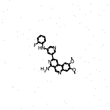 COc1cc2ncc3c(N)nc(-c4cncc(Nc5ccccc5F)c4)cc3c2cc1OC